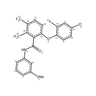 CSc1cccc(NC(=O)c2c(Oc3ccc(Cl)cc3F)nnc(C(F)(F)F)c2C)c1